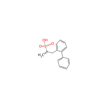 C=C(Cc1ccccc1-c1ccccc1)S(=O)(=O)O